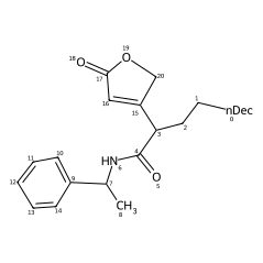 CCCCCCCCCCCCC(C(=O)NC(C)c1ccccc1)C1=CC(=O)OC1